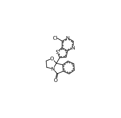 O=C1c2ccccc2C2(c3cc4ncnc(Cl)c4s3)OCCN12